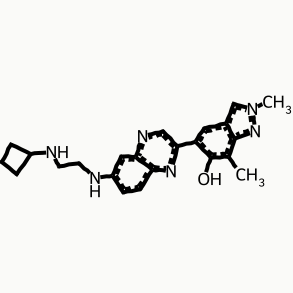 Cc1c(O)c(-c2cnc3cc(NCCNC4CCC4)ccc3n2)cc2cn(C)nc12